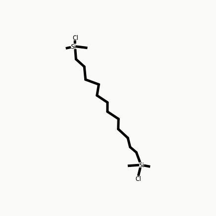 C[Si](C)(Cl)CCCCCCCCCCCC[Si](C)(C)Cl